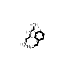 C=Cc1ccccc1.CCCNCC